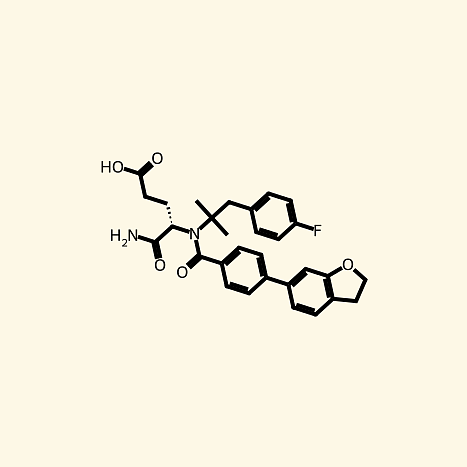 CC(C)(Cc1ccc(F)cc1)N(C(=O)c1ccc(-c2ccc3c(c2)OCC3)cc1)[C@@H](CCC(=O)O)C(N)=O